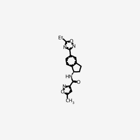 CCc1nc(-c2ccc3c(c2)CC[C@H]3NC(=O)c2cc(C)on2)no1